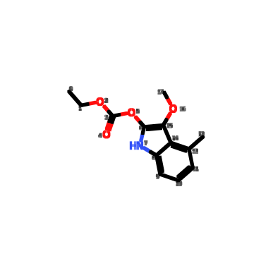 CCOC(=O)Oc1[nH]c2cccc(C)c2c1OC